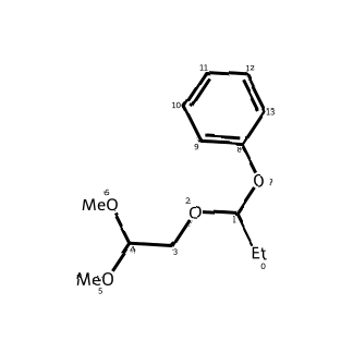 CCC(OCC(OC)OC)Oc1ccccc1